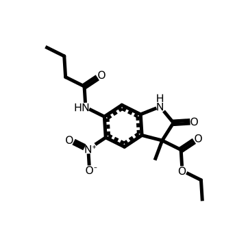 CCCC(=O)Nc1cc2c(cc1[N+](=O)[O-])C(C)(C(=O)OCC)C(=O)N2